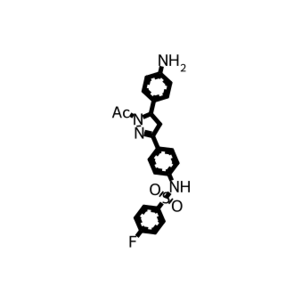 CC(=O)N1N=C(c2ccc(NS(=O)(=O)c3ccc(F)cc3)cc2)CC1c1ccc(N)cc1